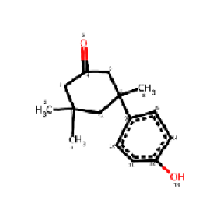 CC1(C)CC(=O)CC(C)(c2ccc(O)cc2)C1